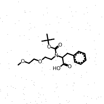 COCCOCCN(C(=O)OC(C)(C)C)C(Cc1ccccc1)C(=O)O